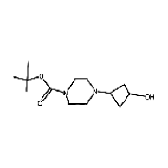 CC(C)(C)OC(=O)N1CCN(C2CC(O)C2)CC1